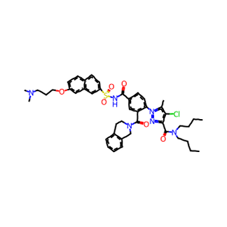 CCCCN(CCCC)C(=O)c1nn(-c2ccc(C(=O)NS(=O)(=O)c3ccc4ccc(OCCCN(C)C)cc4c3)cc2C(=O)N2CCc3ccccc3C2)c(C)c1Cl